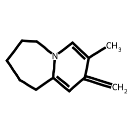 C=C1C=C2CCCCCN2C=C1C